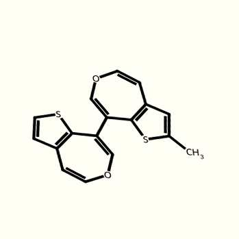 Cc1cc2c(s1)C(C1=COC=Cc3ccsc31)=COC=C2